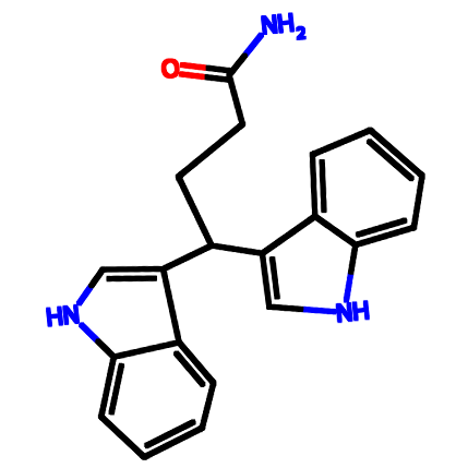 NC(=O)CCC(c1c[nH]c2ccccc12)c1c[nH]c2ccccc12